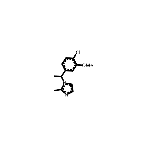 COc1cc(C(C)n2ccnc2C)ccc1Cl